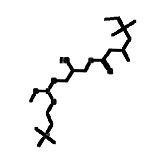 CCC(C)(C)CC(C)CC(=O)OCC(O)COP(OC)OCC[N+](C)(C)C